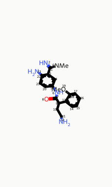 CNC(=N)c1cc(NC(=O)C(CCN)c2ccccc2OC)ccc1N